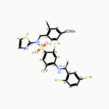 COc1ccc(CN(c2nccs2)S(=O)(=O)c2cc(Cl)c(N[C@@H](C)c3cc(F)ccc3F)cc2F)c(C)c1